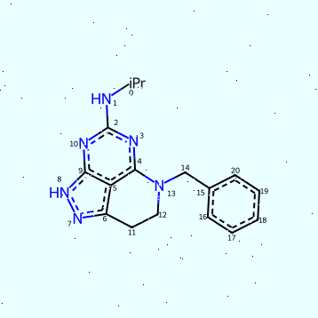 CC(C)Nc1nc2c3c(n[nH]c3n1)CCN2Cc1ccccc1